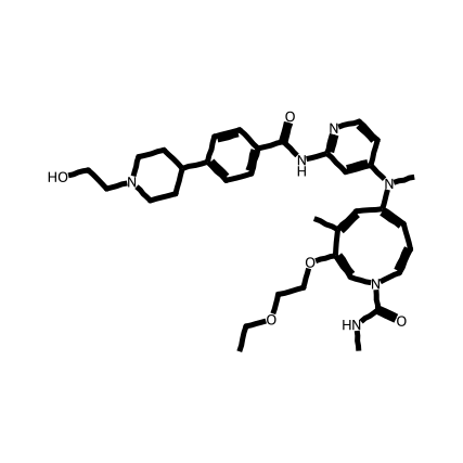 CCOCCOc1cn(C(=O)NC)cccc(N(C)c2ccnc(NC(=O)c3ccc(C4CCN(CCO)CC4)cc3)c2)cc1C